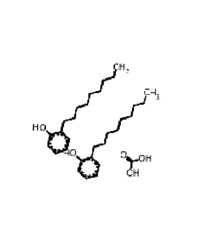 CCCCCCCCCc1ccccc1O.CCCCCCCCCc1ccccc1O.O=C(O)O